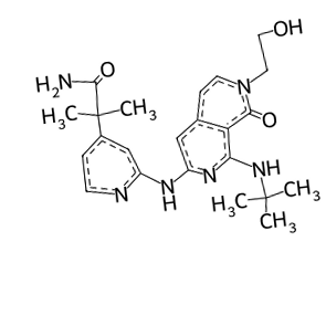 CC(C)(C)Nc1nc(Nc2cc(C(C)(C)C(N)=O)ccn2)cc2ccn(CCO)c(=O)c12